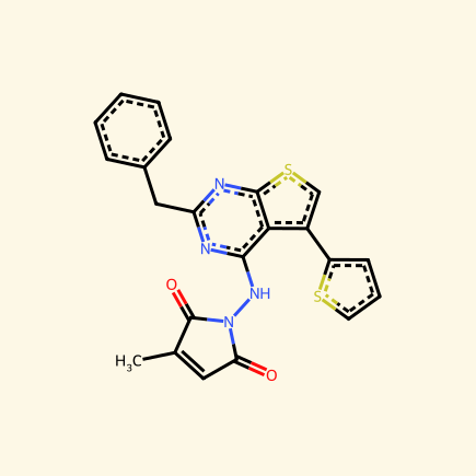 CC1=CC(=O)N(Nc2nc(Cc3ccccc3)nc3scc(-c4cccs4)c23)C1=O